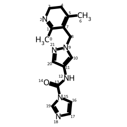 CC1=NCCC(C)=C1Cn1cc(NC(=O)n2ccnc2)cn1